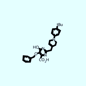 CC(C)(C)c1ccc(N2CC=C(Cc3nc(O)c(OCc4ccccc4)c(C(=O)O)n3)CC2)cc1